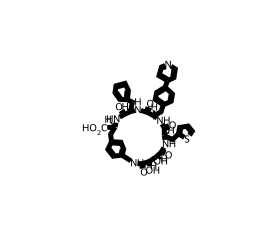 O=C(O)[C@@H]1Cc2ccc(cc2)NC(=O)[C@H](O)[C@@H](O)C(=O)N[C@H](Cc2cccs2)C(=O)N[C@@H](Cc2ccc(-c3ccncc3)cc2)C(=O)N[C@H](Cc2ccccc2)C(=O)N1